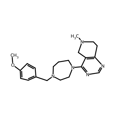 COc1ccc(CN2CCCN(c3ncnc4c3CN(C)CC4)CC2)cc1